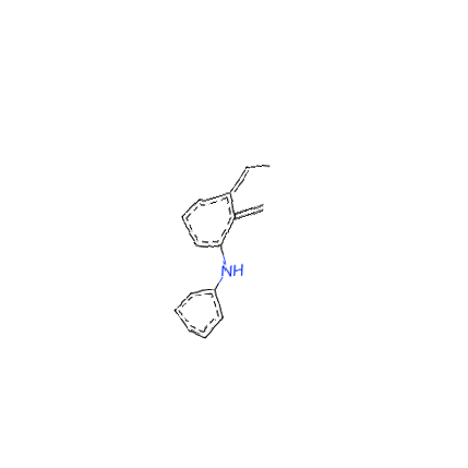 C=c1c(Nc2ccccc2)ccc/c1=C/C